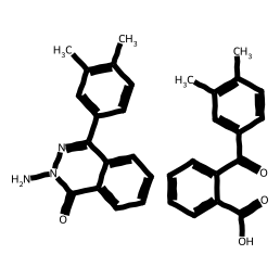 Cc1ccc(-c2nn(N)c(=O)c3ccccc23)cc1C.Cc1ccc(C(=O)c2ccccc2C(=O)O)cc1C